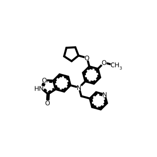 COc1ccc(N(Cc2cccnc2)c2ccc3o[nH]c(=O)c3c2)cc1OC1CCCC1